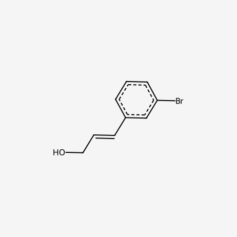 OCC=Cc1cccc(Br)c1